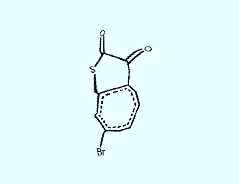 O=C1Sc2cc(Br)ccc2C1=O